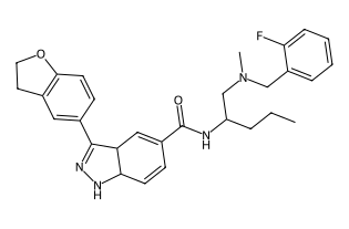 CCCC(CN(C)Cc1ccccc1F)NC(=O)C1=CC2C(c3ccc4c(c3)CCO4)=NNC2C=C1